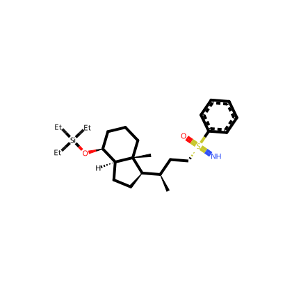 CC[Si](CC)(CC)O[C@H]1CCC[C@]2(C)[C@@H]([C@H](C)CC[S@](=N)(=O)c3ccccc3)CC[C@@H]12